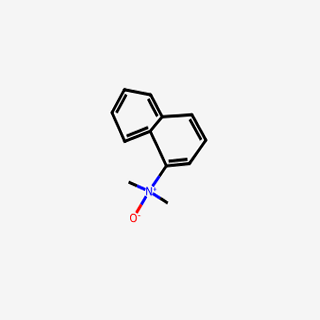 C[N+](C)([O-])c1cccc2ccccc12